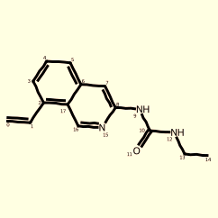 C=Cc1cccc2cc(NC(=O)NCC)ncc12